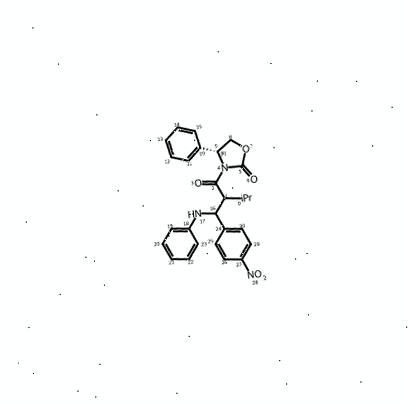 CC(C)C(C(=O)N1C(=O)OC[C@H]1c1ccccc1)C(Nc1ccccc1)c1ccc([N+](=O)[O-])cc1